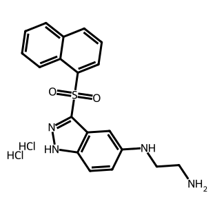 Cl.Cl.NCCNc1ccc2[nH]nc(S(=O)(=O)c3cccc4ccccc34)c2c1